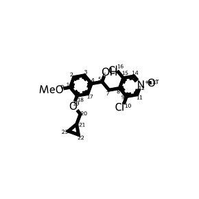 COc1ccc(C(O)Cc2c(Cl)c[n+]([O-])cc2Cl)cc1OCC1CC1